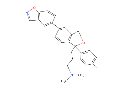 CN(C)CCCC1(c2ccc(F)cc2)OCc2cc(-c3ccc4oncc4c3)ccc21